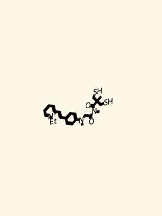 CC[n+]1ccccc1/C=C/c1ccc(N(C)CC(=O)N(C)C(=O)C(C)(CS)CS)cc1